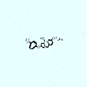 O=C(O)c1ccc(CN2C[C@@H](Oc3ccc(C(F)(F)F)cc3)C[C@H]2CO)nc1